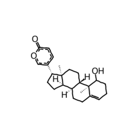 C[C@]12CC[C@H]3[C@@H](CCC4=CCCC(O)[C@@]43C)[C@H]1CC[C@@H]2c1ccc(=O)oc1